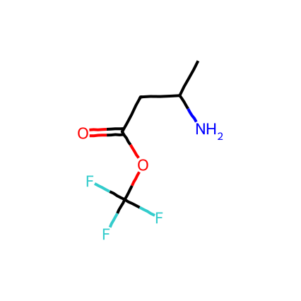 CC(N)CC(=O)OC(F)(F)F